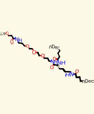 CCCCCCCCCCCCCC(=O)NCCCC[C@@H](NC(=O)CCCCCCCCCCCCC)C(=O)NCCCOCCOCCOCCCNC(=O)CCOCC